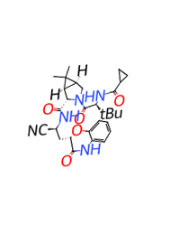 CC(C)(C)[C@H](NC(=O)C1CC1)C(=O)N1C[C@H]2[C@@H]([C@H]1C(=O)N[C@H](C#N)C[C@@H]1Oc3ccccc3NC1=O)C2(C)C